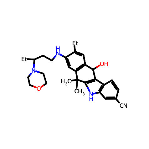 CCc1cc2c(cc1NCCC(CC)N1CCOCC1)C(C)(C)c1[nH]c3cc(C#N)ccc3c1C2O